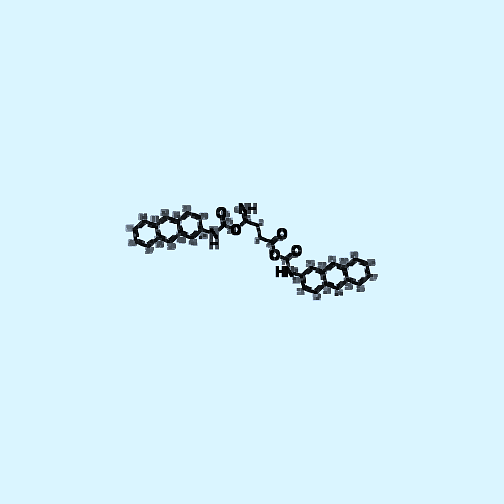 N=C(CCC(=O)OC(=O)Nc1ccc2cc3ccccc3cc2c1)OC(=O)Nc1ccc2cc3ccccc3cc2c1